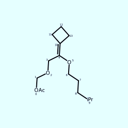 CC(=O)OCOCC(OCCCC(C)C)=C1CCC1